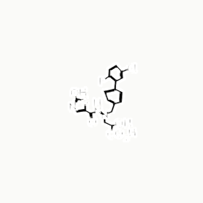 O=C(NN(Cc1ccc(-c2cc(Cl)ccc2F)cc1)CC(O)C(=O)O)c1cnc(O)s1